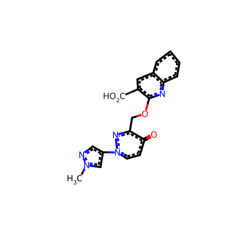 Cn1cc(-n2ccc(=O)c(COc3nc4ccccc4cc3C(=O)O)n2)cn1